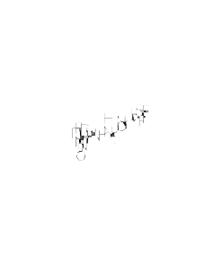 O=C(NCCNC(=O)c1cn(-c2ccccc2)nc1C(F)(F)F)c1ccc(OCC(F)(F)C(F)(F)F)nc1